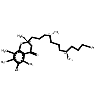 Cc1c(C)c2c(c(C)c1O)C(=O)C[C@@](C)(CCC[C@H](C)CCC[C@H](C)CCCC(C)C)O2